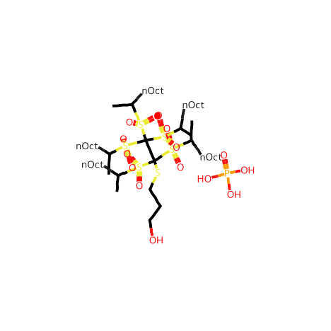 CCCCCCCCC(C)S(=O)(=O)C(SCCCO)(C(S(=O)(=O)C(C)CCCCCCCC)(S(=O)(=O)C(C)CCCCCCCC)S(=O)(=O)C(C)CCCCCCCC)S(=O)(=O)C(C)CCCCCCCC.O=P(O)(O)O